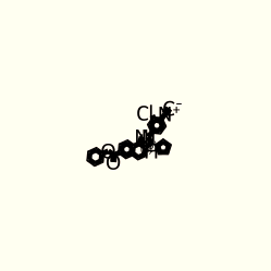 [C-]#[N+]c1ccc(N2N=C3c4ccc(C(=O)OC5CCCCC5)cc4CC[C@@H]3[C@@H]2C2CCCC2)cc1Cl